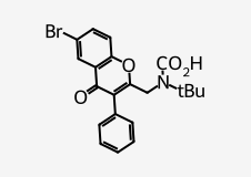 CC(C)(C)N(Cc1oc2ccc(Br)cc2c(=O)c1-c1ccccc1)C(=O)O